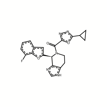 O=C(c1nnc(C2CC2)o1)N1CCc2[nH]cnc2[C@H]1c1cc2cccc(F)c2o1